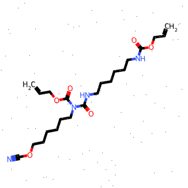 C=CCOC(=O)NCCCCCCNC(=O)N(CCCCCCOC#N)C(=O)OCC=C